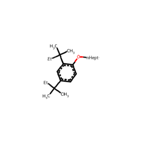 CCCCCC[CH]Oc1ccc(C(C)(C)CC)cc1C(C)(C)CC